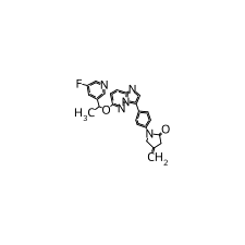 C=C1CC(=O)N(c2ccc(-c3cnc4ccc(OC(C)c5cncc(F)c5)nn34)cc2)C1